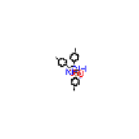 Cc1ccc([C@@H](NS(=O)(=O)c2ccc(C)cc2)[C@@H](N)c2ccc(C)cc2)cc1